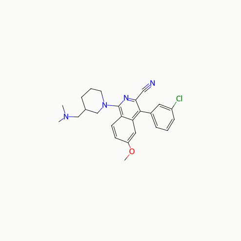 COc1ccc2c(N3CCCC(CN(C)C)C3)nc(C#N)c(-c3cccc(Cl)c3)c2c1